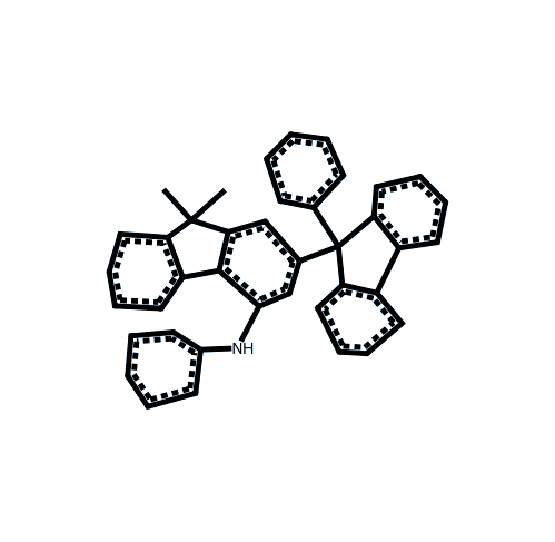 CC1(C)c2ccccc2-c2c(Nc3ccccc3)cc(C3(c4ccccc4)c4ccccc4-c4ccccc43)cc21